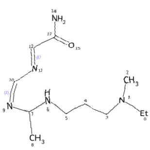 CCN(C)CCCNC(C)/N=C\N=C\C(N)=O